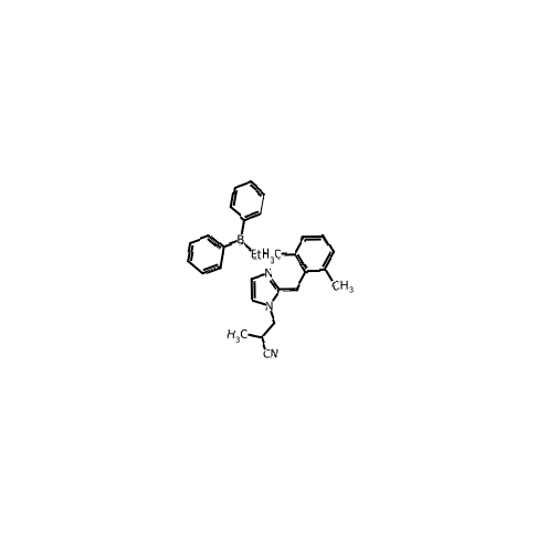 CCB(c1ccccc1)c1ccccc1.Cc1cccc(C)c1Cc1nccn1CC(C)C#N